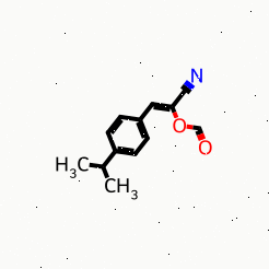 CC(C)c1ccc(C=C(C#N)OC=O)cc1